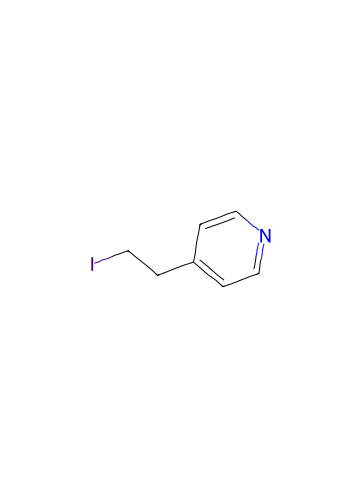 ICCc1ccncc1